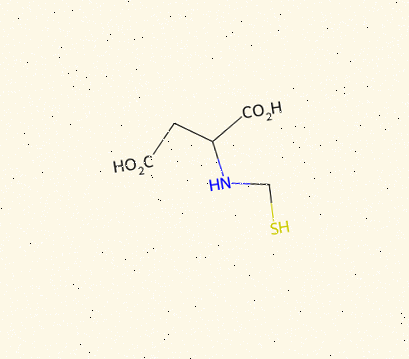 O=C(O)CC(NCS)C(=O)O